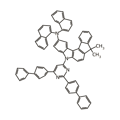 CC1(C)c2ccccc2-c2c1ccc1c2c2cc(N(c3cccc4ccccc34)c3cccc4ccccc34)ccc2n1-c1cc(-c2ccc(-c3ccccc3)cc2)nc(-c2ccc(-c3ccccc3)cc2)n1